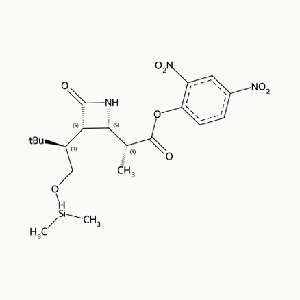 C[C@@H](C(=O)Oc1ccc([N+](=O)[O-])cc1[N+](=O)[O-])[C@H]1NC(=O)[C@H]1[C@@H](CO[SiH](C)C)C(C)(C)C